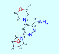 CC1CN(c2cc(N3CC4CC(C3)O4)nnc2CN)CCO1